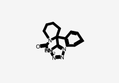 NC(=O)N1CCCCC1(c1ccccc1)c1nnn[nH]1